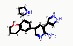 Nc1ncc(-c2cc3c(c([C@@H]4CCCN4)c2)OCCC3)cc1-c1cn[nH]c1